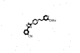 COc1cc(CCN2CCN(c3nc(-c4cccc(C#N)c4)ns3)CC2)ccn1